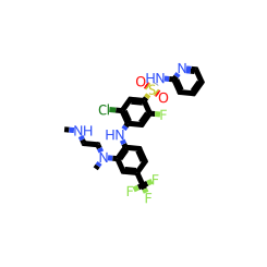 CNCCN(C)c1cc(C(F)(F)F)ccc1Nc1cc(F)c(S(=O)(=O)Nc2ccccn2)cc1Cl